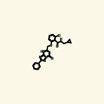 O=C(NCC1CC1)c1c(Cl)cccc1OCc1cc(=O)n2nc(-c3ccccc3)nc2[nH]1